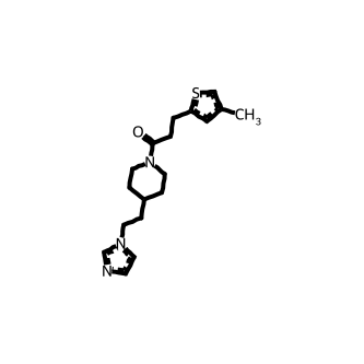 Cc1csc(CCC(=O)N2CCC(CCn3ccnc3)CC2)c1